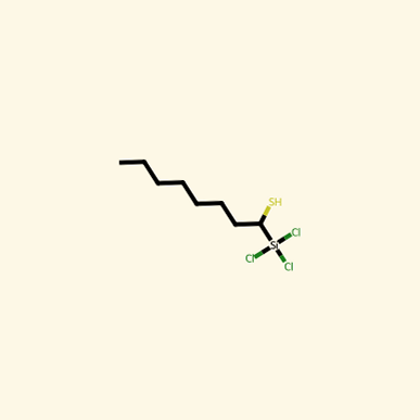 CCCCCCCC(S)[Si](Cl)(Cl)Cl